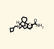 NC(=O)c1ccc2c(c1)C13CCCCC1[C@@H]1N(CC4CCC4)CC1(C2)C3